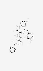 CN1C(=O)C(NC(=O)C(C)(C)NC(=O)c2ccccc2)N=C(Cc2ccc(OC(F)(F)F)cc2)c2cc(F)ccc21